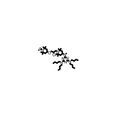 CCCCN(CCCC)c1nc(N(CCCC)CCCC)nc(N(C)C2CC(C)(C)N(CC(O)COC3CC(C)(C)N(OC)C(C)(C)C3)C(C)(C)C2)n1